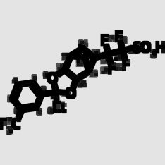 CCC1(c2cccc(C(F)(F)F)c2)OC2C3CC(C2O1)C(C(F)(F)C(F)(F)S(=O)(=O)O)C3